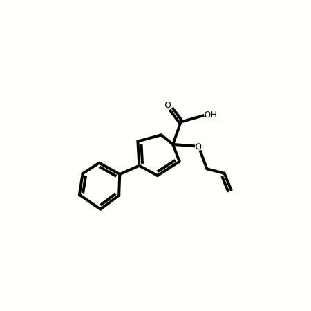 C=CCOC1(C(=O)O)C=CC(c2ccccc2)=CC1